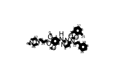 COc1cc(Nc2nccc(N(CCc3ccccc3)C(=O)Oc3c(C)cccc3C)n2)cc(OC)c1OCCCN1CCN(C)CC1